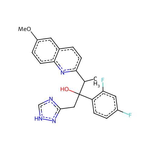 COc1ccc2nc(C(C)C(O)(Cc3nc[nH]n3)c3ccc(F)cc3F)ccc2c1